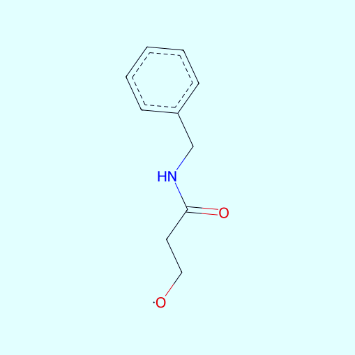 [O]CCC(=O)NCc1ccccc1